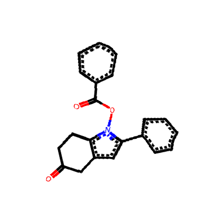 O=C1CCc2c(cc(-c3ccccc3)n2OC(=O)c2ccccc2)C1